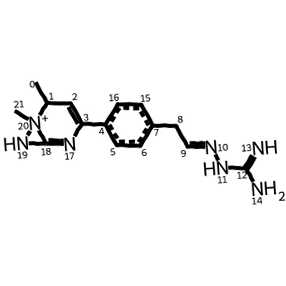 CC1C=C(c2ccc(CC=NNC(=N)N)cc2)N=C2N[N+]21C